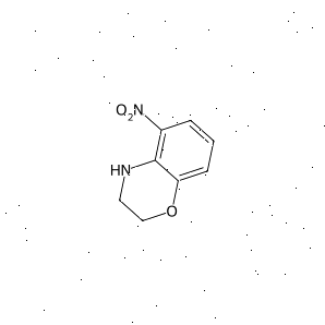 O=[N+]([O-])c1cccc2c1NCCO2